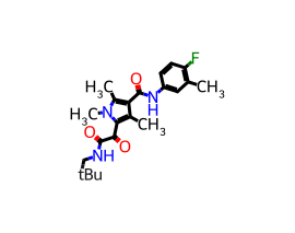 Cc1cc(NC(=O)c2c(C)c(C(=O)C(=O)NCC(C)(C)C)n(C)c2C)ccc1F